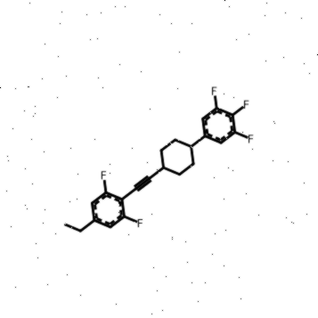 CCc1cc(F)c(C#CC2CCC(c3cc(F)c(F)c(F)c3)CC2)c(F)c1